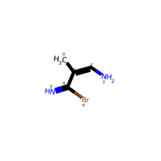 C/C(=C/N)C(=N)Br